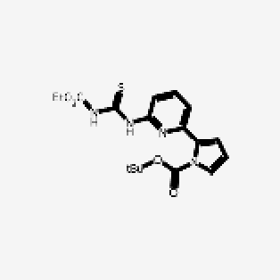 CCOC(=O)NC(=S)Nc1cccc(-c2cccn2C(=O)OC(C)(C)C)n1